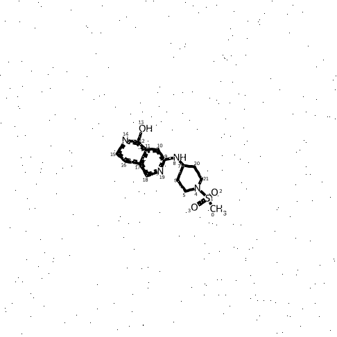 CS(=O)(=O)N1CCC(Nc2cc3c(O)nccc3cn2)CC1